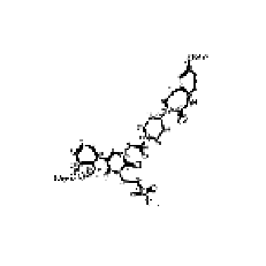 COc1ccc2c(c1)CCN(C1CCN(C(=O)Cn3cc(-c4cccc(OC)c4OC)c(=O)n(CCS(C)(=O)=O)c3=O)CC1)C(=O)N2